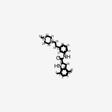 Cc1ccc(F)c2c1NC(C(=O)Nc1cccc(CCN3CCN(C)CC3)c1)C2